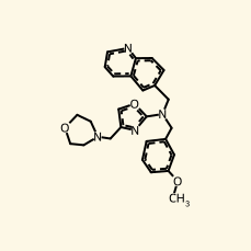 COc1cccc(CN(Cc2ccc3ncccc3c2)c2nc(CN3CCOCC3)co2)c1